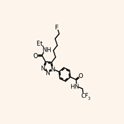 [CH2]CNC(=O)c1nnn(-c2ccc(C(=O)NCC(F)(F)F)cc2)c1CCCCCF